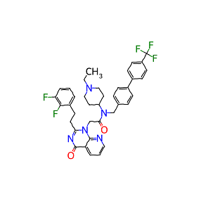 CCN1CCC(N(Cc2ccc(-c3ccc(C(F)(F)F)cc3)cc2)C(=O)Cn2c(CCc3cccc(F)c3F)nc(=O)c3cccnc32)CC1